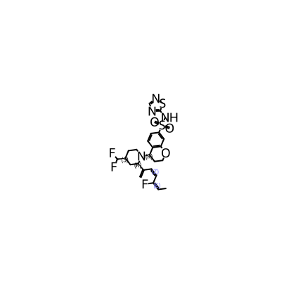 C=C(/C=C\C(F)=C/C)[C@H]1C[C@@H](C(F)F)CCN1[C@@H]1CCOc2cc(S(=O)(=O)Nc3ncns3)ccc21